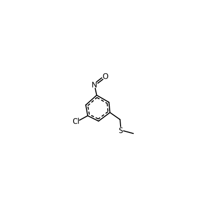 CSCc1cc(Cl)cc(N=O)c1